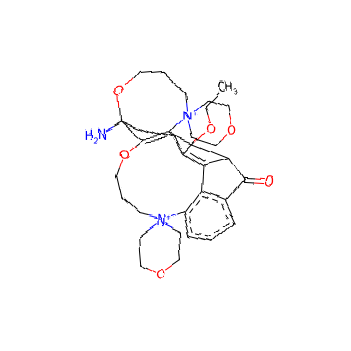 CCOC1=C2c3c4cccc3[N+]3(CCCOC5=C1[N+]1(CCCOC5(N)C2C4=O)CCOCC1)CCOCC3